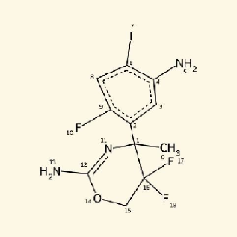 CC1(c2cc(N)c(I)cc2F)N=C(N)OCC1(F)F